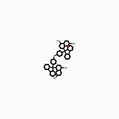 Oc1ccc2c(O)ccc(C3(c4ccc(Oc5ccc(C6(c7ccc(O)c8ccc(O)cc78)c7ccccc7-c7ccccc76)cc5)cc4)c4ccccc4-c4ccccc43)c2c1